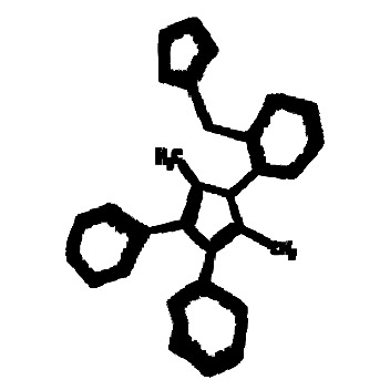 CC1=C(c2ccccc2)C(c2ccccc2)=C(C)C1c1ccccc1Cn1cccc1